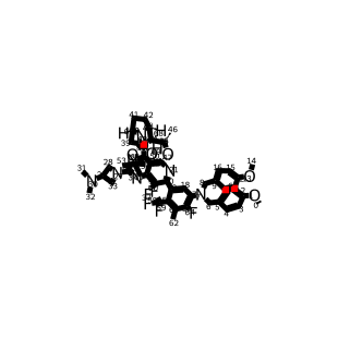 COc1ccc(CN(Cc2ccc(OC)cc2)c2cc(-c3nc4c5c(nc(N6CC(N(C)C)C6)nc5c3F)N3C[C@H]5CC[C@@H]([C@H]3[C@H](C)O4)N5C(=O)OC(C)(C)C)c(C(F)(F)F)c(C)c2F)cc1